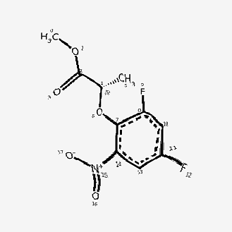 COC(=O)[C@H](C)Oc1c(F)cc(F)cc1[N+](=O)[O-]